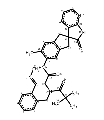 C/N=C/c1ccccc1CN(CC(=O)Nc1cc2c(cc1C)CC1(C2)C(=O)Nc2ncccc21)C(=O)C(C)(C)C